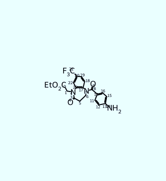 CCOC(=O)CN1C(=O)CCN(C(=O)c2ccc(N)cc2)c2ccc(C(F)(F)F)cc21